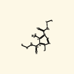 CCOC(=O)c1ccc(C)c(C(=O)OCC)c1N